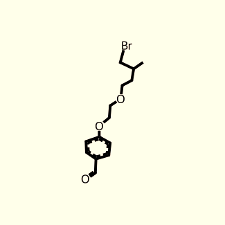 CC(CBr)CCOCCOc1ccc(C=O)cc1